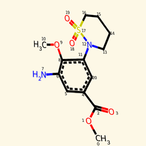 COC(=O)c1cc(N)c(OC)c(N2CCCCS2(=O)=O)c1